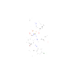 C=CCCC(c1ccccn1)S(=O)(=O)NC(=O)c1ccc2c(c1)N(C[C@@H]1CC[C@H]1C(O)C=C)C[C@@]1(CCCc3cc(Cl)ccc31)CO2